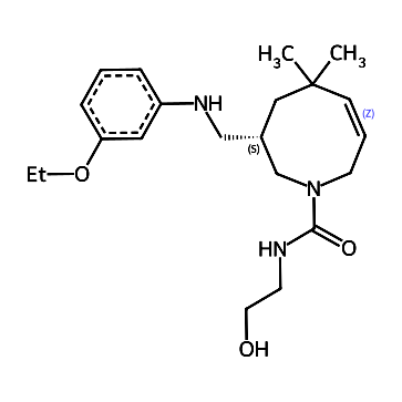 CCOc1cccc(NC[C@H]2CN(C(=O)NCCO)C/C=C\C(C)(C)C2)c1